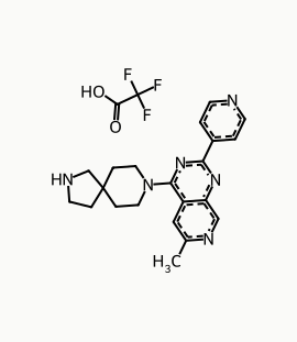 Cc1cc2c(N3CCC4(CCNC4)CC3)nc(-c3ccncc3)nc2cn1.O=C(O)C(F)(F)F